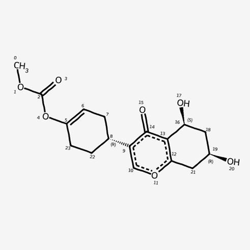 COC(=O)OC1=CC[C@H](c2coc3c(c2=O)[C@@H](O)C[C@@H](O)C3)CC1